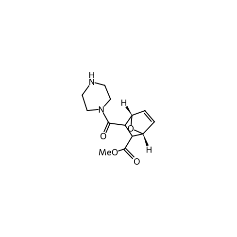 COC(=O)C1C(C(=O)N2CCNCC2)[C@@H]2C=C[C@H]1O2